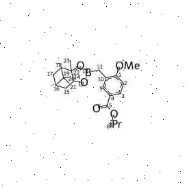 COc1ccc(C(=O)OC(C)C)cc1CB1OC2CC3CC(C3(C)C)C2(C)O1